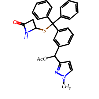 CC(=O)OC(c1cccc(C(SC2CC(=O)N2)(c2ccccc2)c2ccccc2)c1)c1ccn(C)n1